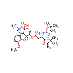 COc1ccc2c3c1O[C@H]1C(OC(=O)CC(NC(=O)OC(C)(C)C)C(=O)OC(C)(C)C)=CC[C@@]4(O)[C@@H](C2)N(C)CC[C@]314